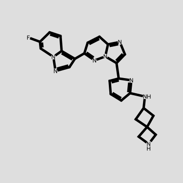 Fc1ccc2c(-c3ccc4ncc(-c5cccc(NC6CC7(CNC7)C6)n5)n4n3)cnn2c1